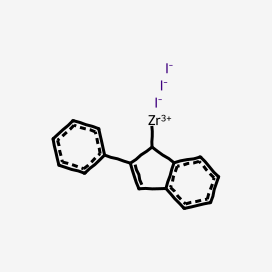 [I-].[I-].[I-].[Zr+3][CH]1C(c2ccccc2)=Cc2ccccc21